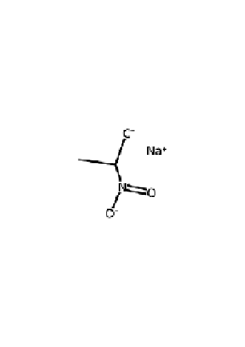 [CH2-]C(C)[N+](=O)[O-].[Na+]